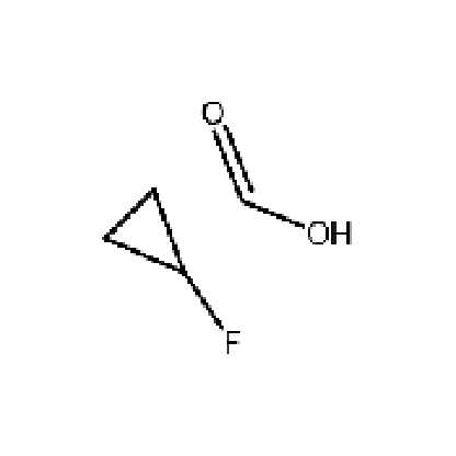 FC1CC1.O=CO